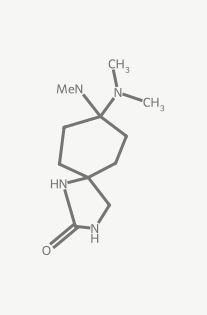 CNC1(N(C)C)CCC2(CC1)CNC(=O)N2